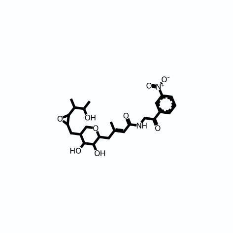 C/C(=C\C(=O)NCC(=O)c1cccc([N+](=O)[O-])c1)CC1OCC(CC2OC2C(C)C(C)O)C(O)C1O